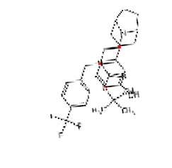 CC(C)(C)OC(=O)N(CCN1C2CCC1CC(c1cccc(O)c1)C2)Cc1ccc(C(F)(F)F)cc1